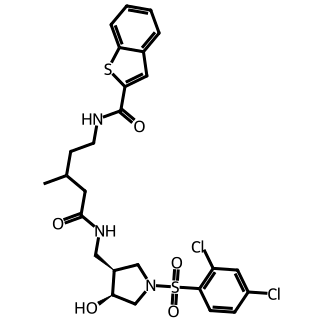 CC(CCNC(=O)c1cc2ccccc2s1)CC(=O)NC[C@H]1CN(S(=O)(=O)c2ccc(Cl)cc2Cl)C[C@H]1O